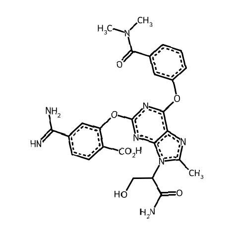 Cc1nc2c(Oc3cccc(C(=O)N(C)C)c3)nc(Oc3cc(C(=N)N)ccc3C(=O)O)nc2n1C(CO)C(N)=O